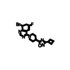 FC1=Cc2c(ncnc2N2CCC(c3nc(C4CCC4)no3)CC2)C(Br)C1